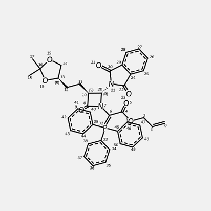 C=CCOC(=O)C(N1C(=O)[C@@H](CC[C@@H]2COC(C)(C)O2)[C@@H]1N1C(=O)c2ccccc2C1=O)=P(c1ccccc1)(c1ccccc1)c1ccccc1